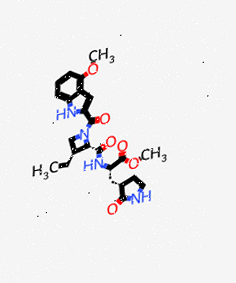 CC[C@H]1CN(C(=O)c2cc3c(OC)cccc3[nH]2)[C@@H]1C(=O)N[C@@H](C[C@@H]1CCNC1=O)C(=O)OC